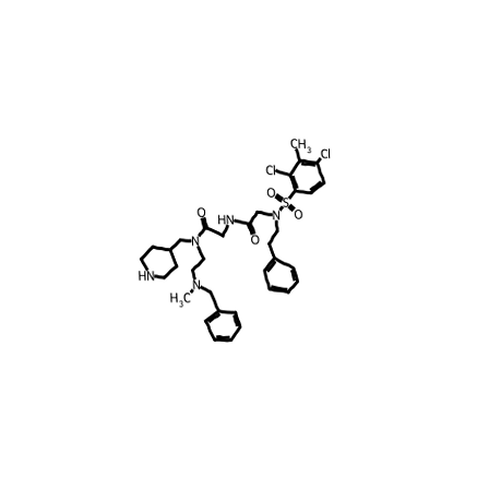 Cc1c(Cl)ccc(S(=O)(=O)N(CCc2ccccc2)CC(=O)NCC(=O)N(CCN(C)Cc2ccccc2)CC2CCNCC2)c1Cl